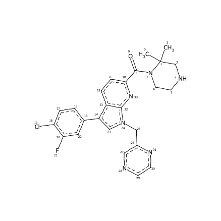 CC1(C)CNCCN1C(=O)c1ccc2c(-c3ccc(Cl)c(F)c3)cn(Cc3cnccn3)c2n1